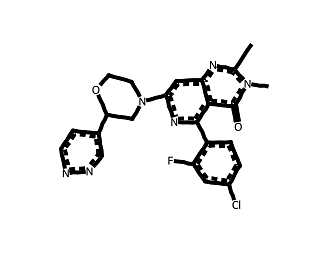 Cc1nc2cc(N3CCOC(c4ccnnc4)C3)nc(-c3ccc(Cl)cc3F)c2c(=O)n1C